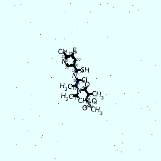 C=C(C)N(C(=O)C(C)CS(C)(=O)=O)/C(C)=C(Cl)/N=C(\S)c1cnc(Cl)c(F)c1